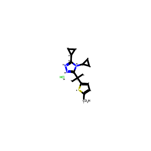 CC(C)(c1ccc(C(=O)O)s1)c1nnc(C2CC2)n1C1CC1.Cl